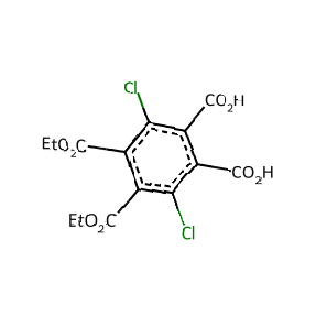 CCOC(=O)c1c(Cl)c(C(=O)O)c(C(=O)O)c(Cl)c1C(=O)OCC